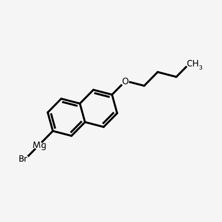 CCCCOc1ccc2c[c]([Mg][Br])ccc2c1